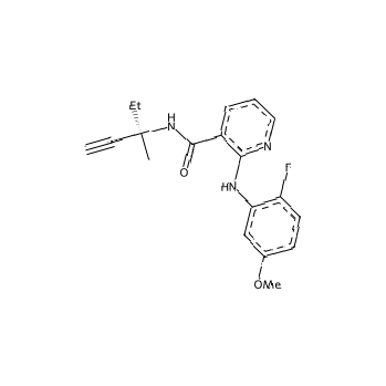 C#C[C@@](C)(CC)NC(=O)c1cccnc1Nc1cc(OC)ccc1F